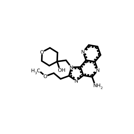 COCCc1nc2c(N)nc3cccnc3c2n1CC1(O)CCOCC1